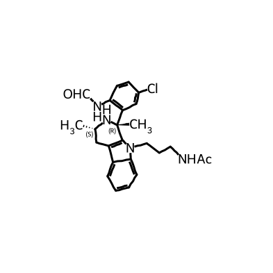 CC(=O)NCCCn1c2c(c3ccccc31)C[C@H](C)N[C@]2(C)c1cc(Cl)ccc1NC=O